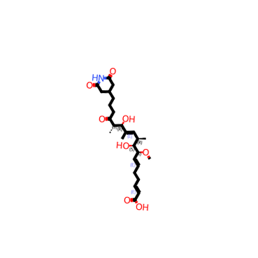 CO[C@@H](/C=C/CC/C=C/C(=O)O)[C@@H](O)[C@H](C)/C=C(\C)[C@H](O)[C@H](C)C(=O)CCCC1CC(=O)NC(=O)C1